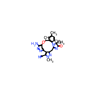 Cc1ccc2c(c1)[C@@H](C)Oc1cc(nnc1N)-c1c(nn(C)c1C#N)CC1=NC(=O)C(C)(C)N12